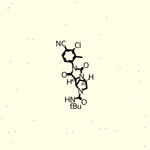 Cc1c(N2C(=O)[C@@H]3C4C[C@H](CN4C(=O)NC(C)(C)C)N3C2=O)ccc(C#N)c1Cl